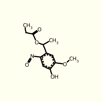 CCC(=O)OC(C)c1cc(OC)c(O)cc1N=O